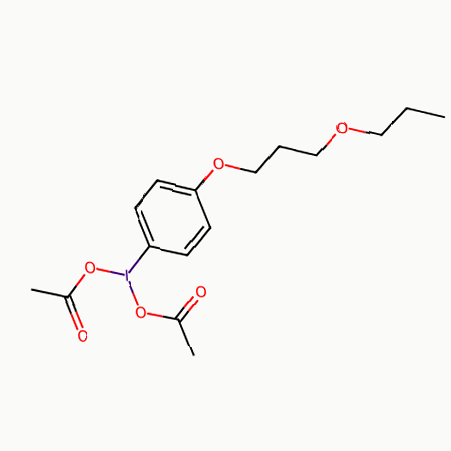 CCCOCCCOc1ccc(I(OC(C)=O)OC(C)=O)cc1